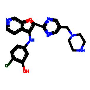 Oc1cc(Nc2c(-c3ncc(CN4CCNCC4)cn3)oc3cnccc23)ccc1Cl